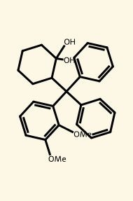 COc1cccc(C(c2ccccc2)(c2ccccc2)C2CCCCC2(O)O)c1OC